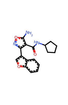 Nc1onc(-c2coc3ccccc23)c1C(=O)NC1CCCC1